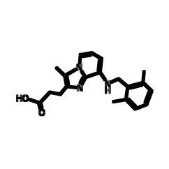 Cc1cccc(C)c1CNc1cccn2c(C)c(CCC(=O)O)nc12